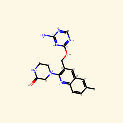 Cc1ccc2nc(N3CCNC(=O)C3)c(COc3ncnc(N)n3)cc2c1